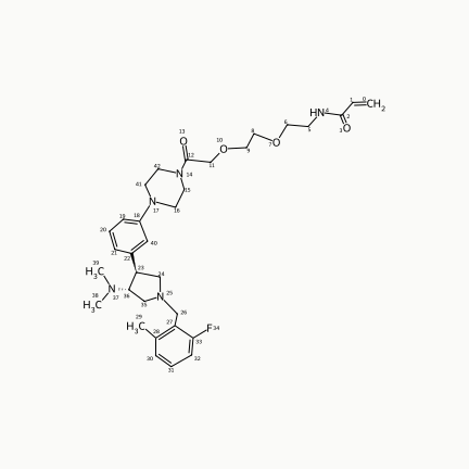 C=CC(=O)NCCOCCOCC(=O)N1CCN(c2cccc([C@H]3CN(Cc4c(C)cccc4F)C[C@@H]3N(C)C)c2)CC1